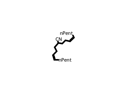 CCCCC/C=C\CCC(C#N)CC/C=C\CCCCC